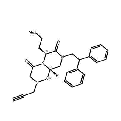 C#CCN1CC(=O)N2[C@H](CN(CC(c3ccccc3)c3ccccc3)C(=O)[C@@H]2CCSC)N1